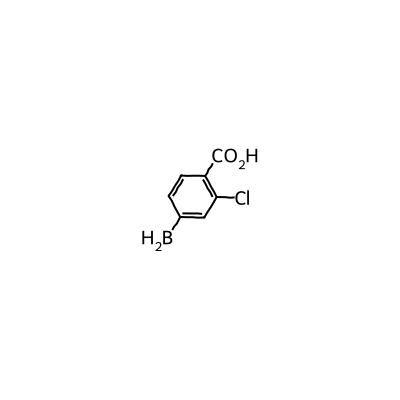 Bc1ccc(C(=O)O)c(Cl)c1